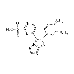 C=C/C=C\C(=C/C=C)c1nc2sccn2c1-c1ccnc(S(C)(=O)=O)n1